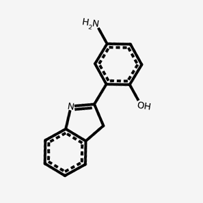 Nc1ccc(O)c(C2=Nc3ccccc3C2)c1